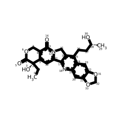 CC[C@@]1(O)C(=O)OCc2c1cc1n(c2=O)Cc2c-1nc1cc3c(cc1c2CC[C@@H](C)O)OCO3